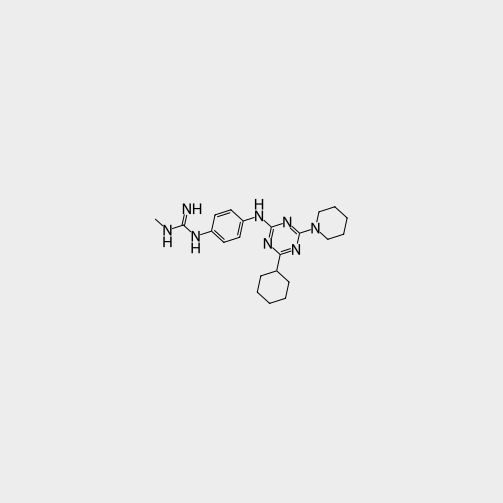 CNC(=N)Nc1ccc(Nc2nc(C3CCCCC3)nc(N3CCCCC3)n2)cc1